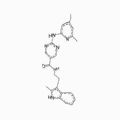 Cc1cc(C)nc(Nc2ncc(C(=O)NCCc3c(C)[nH]c4ccccc34)cn2)c1